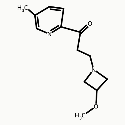 COC1CN(CCC(=O)c2ccc(C)cn2)C1